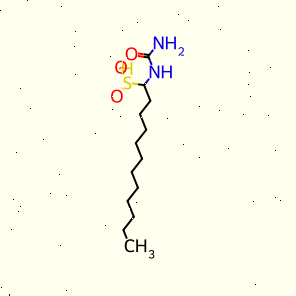 CCCCCCCCCCCC(NC(N)=O)[SH](=O)=O